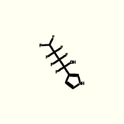 OC(F)(c1cc[nH]c1)C(F)(F)C(F)(F)C(F)F